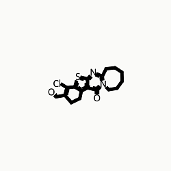 O=CC1=C(Cl)c2sc3nc4n(c(=O)c3c2CC1)CCCCCC4